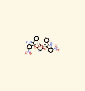 CC(OC(=O)/C=C\C(=O)OC(C)(c1cccc([N+](=O)[O-])c1)C(N)c1ccccc1)(c1cccc([N+](=O)[O-])c1)C(N)c1ccccc1